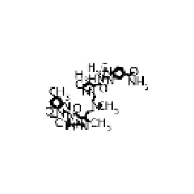 CCn1nc(C)c(CCN(C)CCn2nc(C)cc2C(=O)Nc2nc3cc(C(N)=O)ccc3n2C)c1C(=O)Nc1nc2cc(C)cc3c2n1[C@@H](C)CO3